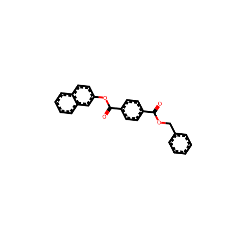 O=C(OCc1ccccc1)c1ccc(C(=O)Oc2ccc3ccccc3c2)cc1